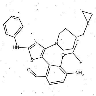 Nc1ccc(C=O)c(-c2sc(Nc3ccccc3)nc2N2CCN(CC3CC3)CC2)c1OC(F)F